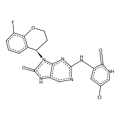 O=c1[nH]cc(Cl)cc1Nc1ncc2[nH]c(=O)n([C@@H]3CCOc4c(F)cccc43)c2n1